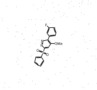 COc1cc(S(=O)(=O)c2ccccc2)nnc1-c1cc[c]c(F)c1